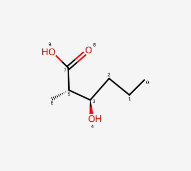 CCC[C@@H](O)[C@H](C)C(=O)O